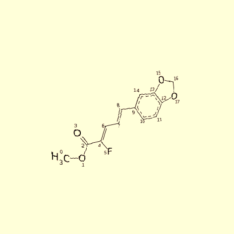 COC(=O)/C(F)=C/C=C/c1ccc2c(c1)OCO2